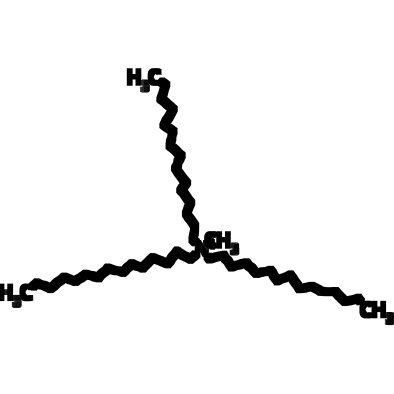 CCCCCCCCCCCCCCC[N+](C)(CCCCCCCCCCCCCCC)CCCCCCCCCCCCCCC